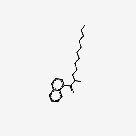 CCCCCCCCCCC(C)C(=O)c1cccc2ccccc12